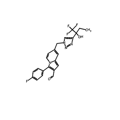 CCC(O)(c1cn(Cc2ccn3c(-c4ccc(F)cc4)c(C=O)cc3c2)nn1)C(F)(F)F